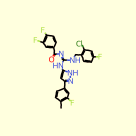 Cc1ccc(-c2cc(N/C(=N\C(=O)c3ccc(F)c(F)c3)NCc3ccc(F)cc3Cl)[nH]n2)cc1F